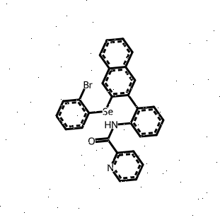 O=C(Nc1ccccc1-c1cc2ccccc2cc1[Se]c1ccccc1Br)c1ccccn1